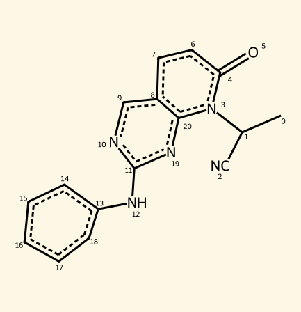 CC(C#N)n1c(=O)ccc2cnc(Nc3ccccc3)nc21